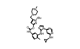 Cc1ccc(NC(=O)Oc2cc(CN3CCN(C)CC3)n(C(C)(C)C)n2)cc1Nc1nccn1-c1cc(NC2CC2)ncn1